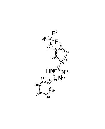 FC(F)(F)Oc1cccc(-c2nnc(-c3cc[c]cc3)[nH]2)c1